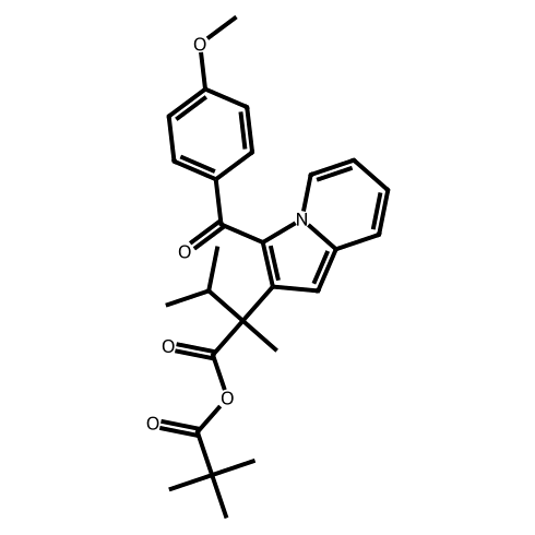 COc1ccc(C(=O)c2c(C(C)(C(=O)OC(=O)C(C)(C)C)C(C)C)cc3ccccn23)cc1